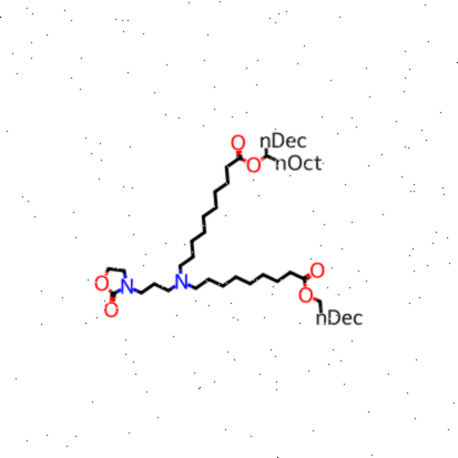 CCCCCCCCCCCOC(=O)CCCCCCCCN(CCCCCCCCCC(=O)OC(CCCCCCCC)CCCCCCCCCC)CCCN1CCOC1=O